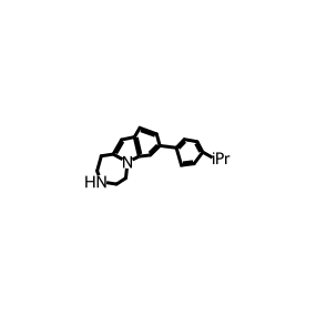 CC(C)c1ccc(-c2ccc3cc4n(c3c2)CCNCC4)cc1